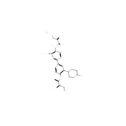 C=C(COC)C(=O)Oc1ccc(-c2ccc(OC(=O)C(=C)CO)c(C3CCC(CC)CC3)c2)cc1C